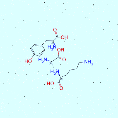 C[C@H](N)C(=O)O.NCCCC[C@H](N)C(=O)O.N[C@@H](Cc1ccc(O)cc1)C(=O)O